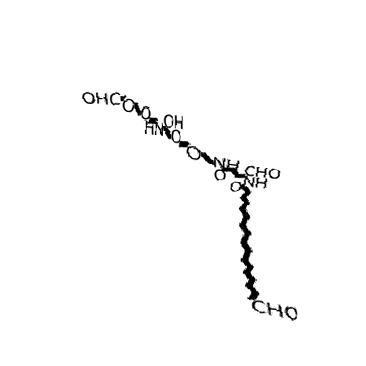 O=CCCCCCCCCCCCCCCCCC(=O)NC(C=O)CCC(=O)NCCOCCOCC(O)NCCOCCOCC=O